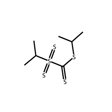 CC(C)SC(=S)S(=S)(=S)C(C)C